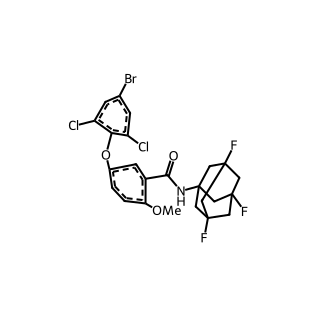 COc1ccc(Oc2c(Cl)cc(Br)cc2Cl)cc1C(=O)NC12CC3(F)CC(F)(CC(F)(C3)C1)C2